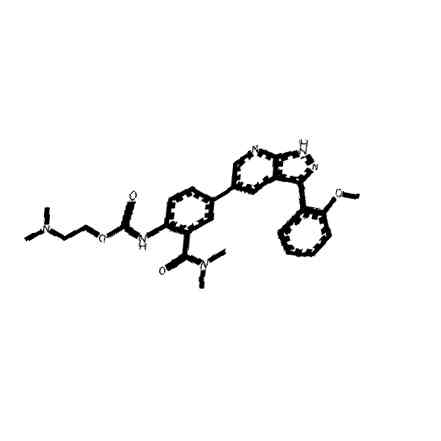 COc1ccccc1-c1n[nH]c2ncc(-c3ccc(NC(=O)OCCN(C)C)c(C(=O)N(C)C)c3)cc12